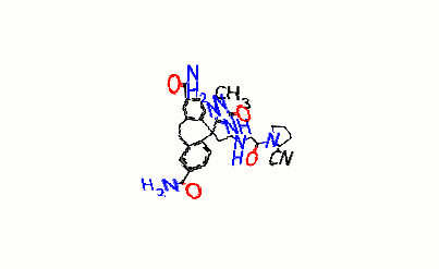 Cn1nc(C2(CCNCC(=O)N3CCC[C@H]3C#N)c3ccc(C(N)=O)cc3CCc3cc(C(N)=O)ccc32)[nH]c1=O